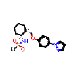 CCS(=O)(=O)N[C@H]1CCCC[C@@H]1COc1ccc(-n2cccn2)cc1